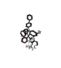 C/C=C\c1c(C)nc2n1-c1cc(Br)cc(N(C3=C=CC=CC=C3)c3ccc(-c4ccccc4)cc3)c1C21c2ccccc2-c2ccccc21